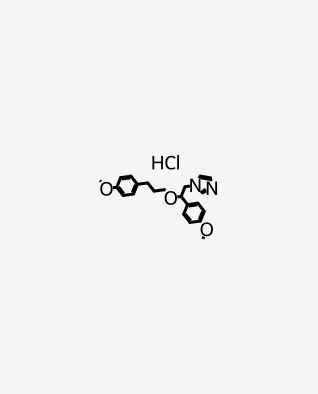 COc1ccc(CCCOC(Cn2ccnc2)c2ccc(OC)cc2)cc1.Cl